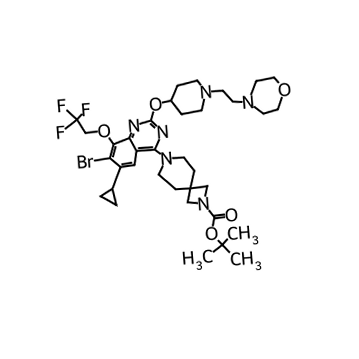 CC(C)(C)OC(=O)N1CC2(CCN(c3nc(OC4CCN(CCN5CCOCC5)CC4)nc4c(OCC(F)(F)F)c(Br)c(C5CC5)cc34)CC2)C1